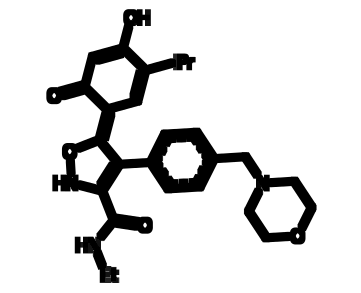 CCNC(=O)C1=C(c2ccc(CN3CCOCC3)cc2)C(=C2C=C(C(C)C)C(O)=CC2=O)ON1